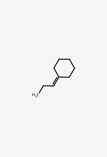 CC[C]=C1CCCCC1